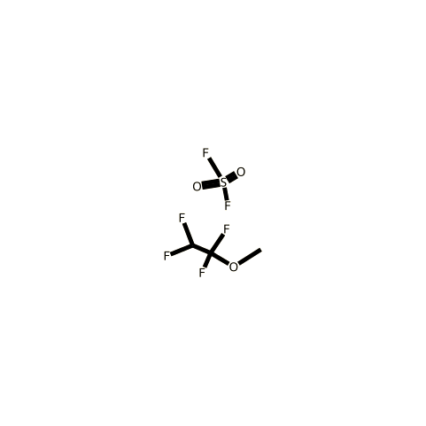 COC(F)(F)C(F)F.O=S(=O)(F)F